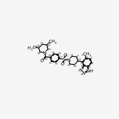 Cc1ccc2[nH]nnc2c1C1CCN(S(=O)(=O)c2ccc(C(=O)N3CC(C)CC(C)C3)cc2)CC1